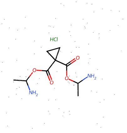 CC(N)OC(=O)C1(C(=O)OC(C)N)CC1.Cl